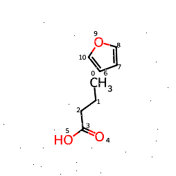 CCCC(=O)O.c1ccoc1